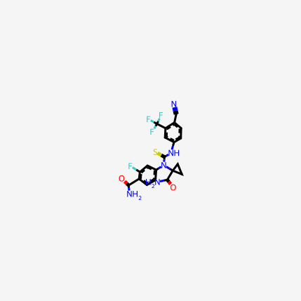 N#Cc1ccc(NC(=S)N(c2ccc(C(N)=O)c(F)c2)C2(C(N)=O)CC2)cc1C(F)(F)F